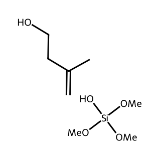 C=C(C)CCO.CO[Si](O)(OC)OC